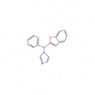 c1ccc(C(c2cc3ccccc3o2)n2ccnc2)cc1